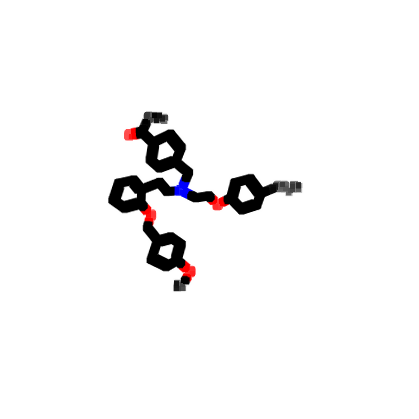 CCOC(=O)c1ccc(OCCN(CCc2ccccc2OCc2ccc(OCC)cc2)Cc2ccc(C(=O)OC)cc2)cc1